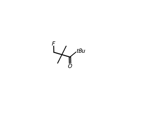 CC(C)(C)C(=O)C(C)(C)CF